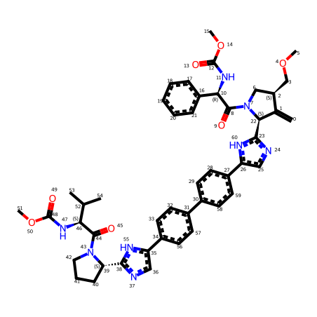 C=C1[C@H](COC)CN(C(=O)[C@H](NC(=O)OC)c2ccccc2)[C@@H]1c1ncc(-c2ccc(-c3ccc(-c4cnc([C@@H]5CCCN5C(=O)[C@@H](NC(=O)OC)C(C)C)[nH]4)cc3)cc2)[nH]1